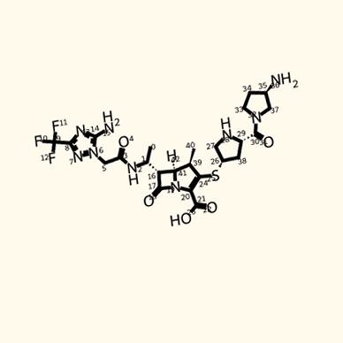 CC(NC(=O)Cn1nc(C(F)(F)F)nc1N)[C@H]1C(=O)N2C(C(=O)O)=C(S[C@@H]3CN[C@H](C(=O)N4CC[C@@H](N)C4)C3)[C@H](C)[C@H]12